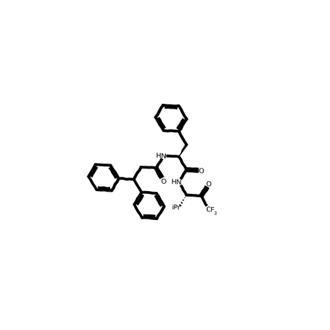 CC(C)[C@H](NC(=O)[C@H](Cc1ccccc1)NC(=O)CC(c1ccccc1)c1ccccc1)C(=O)C(F)(F)F